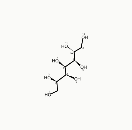 OC[C@@H](O)[C@H](O)[C@@H](O)[C@H](O)[C@H](O)CO